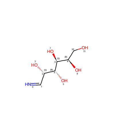 N=C[C@H](O)[C@@H](O)[C@@H](O)[C@H](O)CO